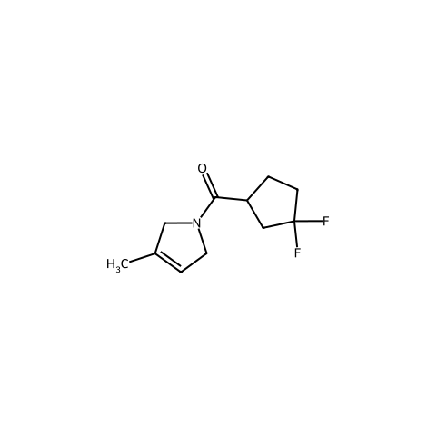 CC1=CCN(C(=O)C2CCC(F)(F)C2)C1